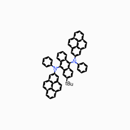 CC(C)(C)c1ccc2c(N(c3ccccc3)c3cc4ccc5cccc6ccc(c3)c4c56)c3ccccc3c(N(c3ccccc3)c3cc4ccc5cccc6ccc(c3)c4c56)c2c1